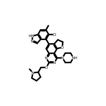 Cc1cc2[nH]ncc2c(-c2cc3nc(OCC4CCCN4C)nc(N4CCNCC4)c3c3c2CCO3)c1Cl